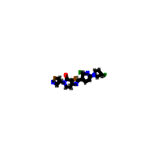 O=C1c2sc(-c3ccc(N4CC[C@H](F)C4)nc3F)nc2CCN1c1cnsc1